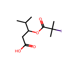 CC(C)C(CC(=O)O)OC(=O)C(C)(C)I